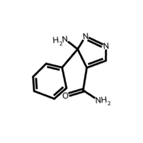 NC(=O)C1=CN=NC1(N)c1ccccc1